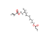 C=CC(=O)OCCCCCCCC(CC)CCOC(=O)C=C